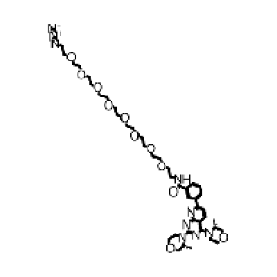 C[C@H]1COCCN1c1nc(N2CCOC[C@@H]2C)c2ccc(-c3cccc(C(=O)NCCOCCOCCOCCOCCOCCOCCOCCOCCN=[N+]=[N-])c3)nc2n1